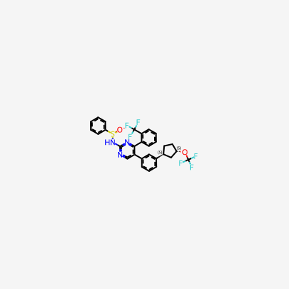 [O-][S+](Nc1ncc(-c2cccc([C@H]3CC[C@H](OC(F)(F)F)C3)c2)c(-c2ccccc2C(F)(F)F)n1)c1ccccc1